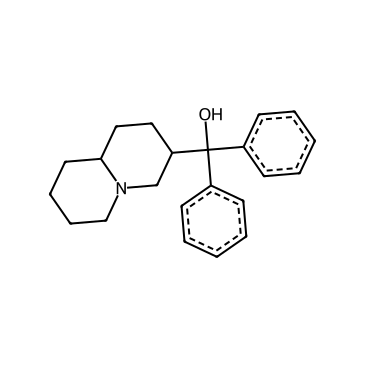 OC(c1ccccc1)(c1ccccc1)C1CCC2CCCCN2C1